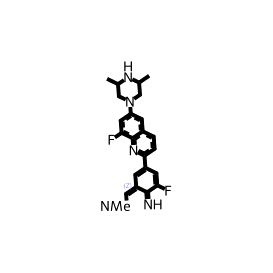 CN/C=C1/C=C(c2ccc3cc(N4CC(C)NC(C)C4)cc(F)c3n2)C=C(F)C1=N